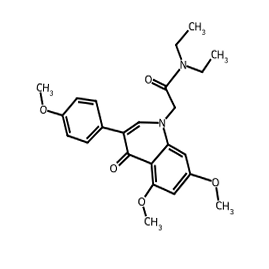 CCN(CC)C(=O)Cn1cc(-c2ccc(OC)cc2)c(=O)c2c(OC)cc(OC)cc21